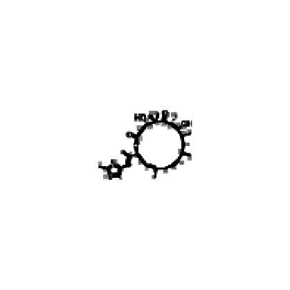 C/C1=C/C[C@@H](/C(C)=C/c2csc(C)n2)OC(=O)C[C@H](O)C(C)(C)C(=O)[C@H](C)[C@@H](O)[C@@H](C)CC(C)CCC1